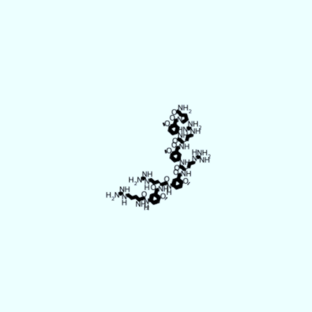 COc1ccc(NC(=O)[C@H](CCCNC(=N)N)NC(=O)c2cc(NC(=O)[C@@H](N)CCCNC(=N)N)ccc2OC)cc1C(=O)N[C@@H](CCCNC(=N)N)C(=O)Nc1ccc(OC)c(C(=O)N[C@@H](CCCNC(=N)N)C(=O)Nc2ccc(OC)c(C(=O)N3CCCC3C(N)=O)c2)c1